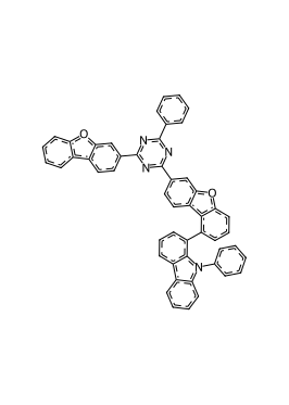 c1ccc(-c2nc(-c3ccc4c(c3)oc3ccccc34)nc(-c3ccc4c(c3)oc3cccc(-c5cccc6c7ccccc7n(-c7ccccc7)c56)c34)n2)cc1